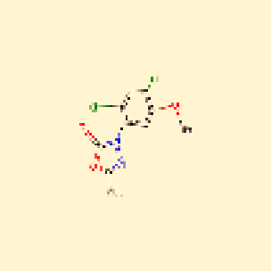 CCCCc1nn(-c2cc(OC(C)C)c(Cl)cc2Cl)c(=O)o1